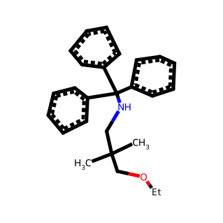 CCOCC(C)(C)CNC(c1ccccc1)(c1ccccc1)c1ccccc1